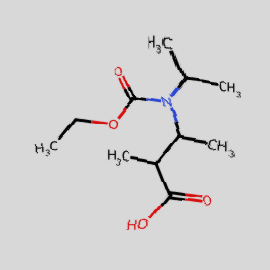 CCOC(=O)N(C(C)C)C(C)C(C)C(=O)O